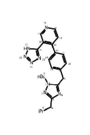 CCCCn1nc(CC(C)C)nc1Cc1ccc(-c2ccncc2-c2nnn[nH]2)cc1